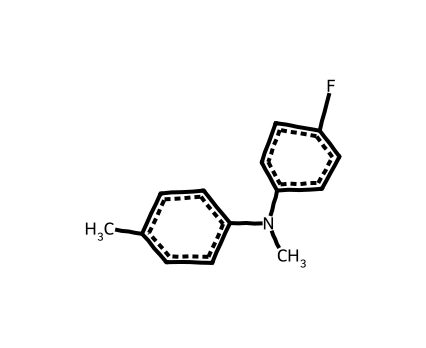 Cc1ccc(N(C)c2ccc(F)cc2)cc1